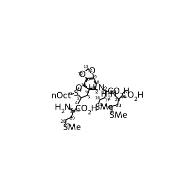 CCCCCCCC[S+]([O-])C(C)Cc1ccc2c(c1)OCO2.CSCCC(N)C(=O)O.CSCCC(N)C(=O)O.CSCCC(N)C(=O)O